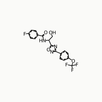 O=C(NC(CO)c1nc(-c2ccc(OC(F)(F)F)cc2)no1)c1ccc(F)cc1